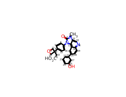 Cn1c(=O)n(-c2ccc(C3(CC(=O)O)COC3)cc2)c2c3cc(-c4cccc(O)c4)ccc3ncc21